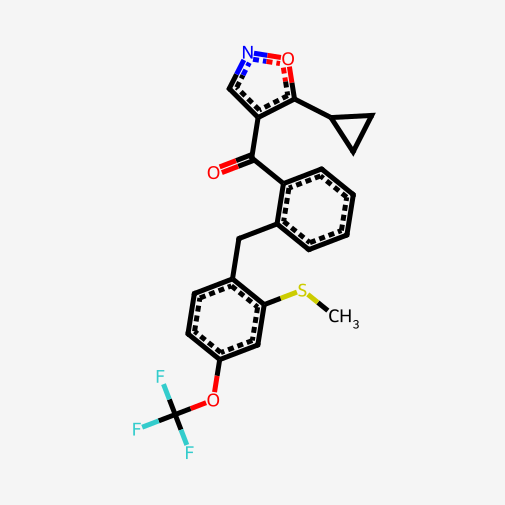 CSc1cc(OC(F)(F)F)ccc1Cc1ccccc1C(=O)c1cnoc1C1CC1